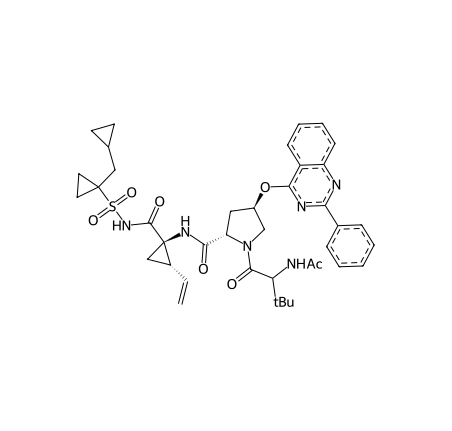 C=C[C@@H]1C[C@]1(NC(=O)[C@@H]1C[C@@H](Oc2nc(-c3ccccc3)nc3ccccc23)CN1C(=O)C(NC(C)=O)C(C)(C)C)C(=O)NS(=O)(=O)C1(CC2CC2)CC1